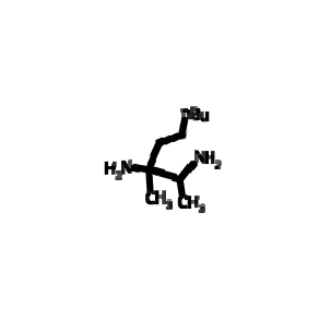 CCCCCCC(C)(N)C(C)N